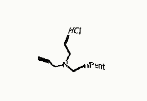 C=CCN(CC=C)CCCCCC.Cl